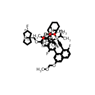 COCOc1cc(-c2ncc3c(N4CC5CCCC(C4)N5C(=O)OC(C)(C)C)nc(OC[C@@]45CCCN4C[C@H](F)C5)nc3c2F)c2c(C#C[Si](C(C)C)(C(C)C)C(C)C)c(F)ccc2c1